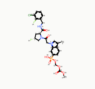 CC(=O)c1cn(CC(=O)N2C[C@H](F)C[C@H]2C(=O)NCc2cccc(Cl)c2F)c2cc(P(=O)(O)OCOC(=O)OC(C)C)ccc12